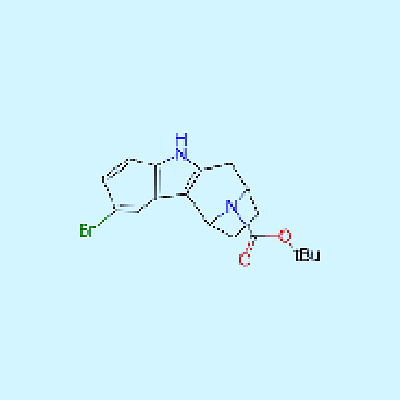 CC(C)(C)OC(=O)N1C2CCC1c1c([nH]c3ccc(Br)cc13)C2